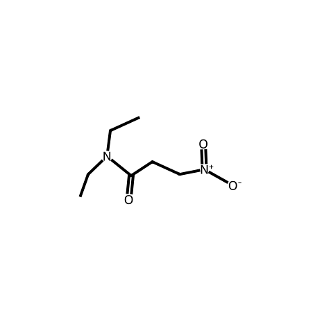 CCN(CC)C(=O)CC[N+](=O)[O-]